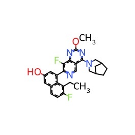 CCc1c(F)ccc2cc(O)cc(-c3ncc4c(N5CC6CCC(C6)C5)nc(OC)nc4c3F)c12